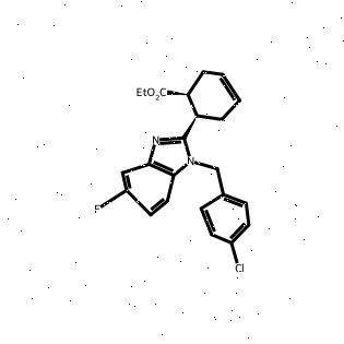 CCOC(=O)[C@H]1CC=CC[C@H]1c1nc2cc(F)ccc2n1Cc1ccc(Cl)cc1